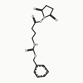 O=C(CCCNC(=O)OCc1ccccc1)ON1C(=O)CCC1=O